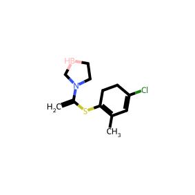 C=C(SC1=C(C)C=C(Cl)CC1)N1CBCC1